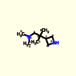 CN(C)CC(C)(C)C1CNC1